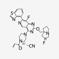 C=CC(=O)N1CCN(c2nc(OCC34CCCN3C[C@H](F)C4)nc3c(F)c(-c4cccc5scnc45)ncc23)C[C@@H]1CC#N